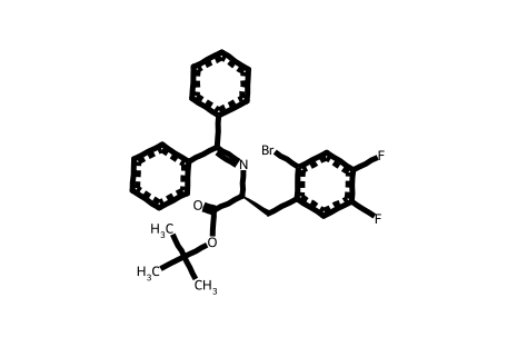 CC(C)(C)OC(=O)[C@H](Cc1cc(F)c(F)cc1Br)N=C(c1ccccc1)c1ccccc1